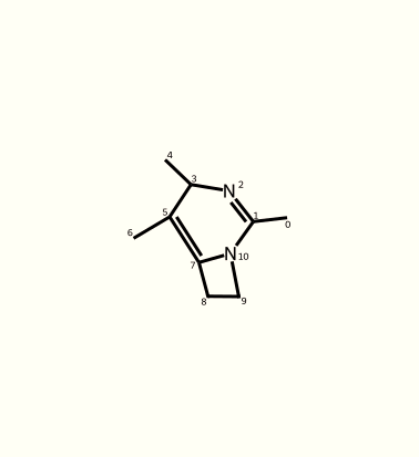 CC1=NC(C)C(C)=C2CCN12